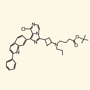 CCCN(CCCC(=O)OC(C)(C)C)C1CC(c2nc(-c3ccc4ccc(-c5ccccc5)nc4c3)c3c(Cl)nccn23)C1